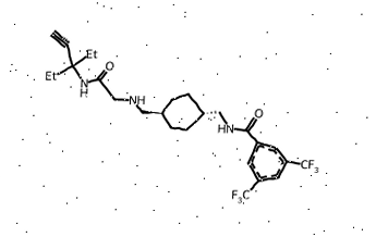 C#CC(CC)(CC)NC(=O)CNC[C@H]1CC[C@H](CNC(=O)c2cc(C(F)(F)F)cc(C(F)(F)F)c2)CC1